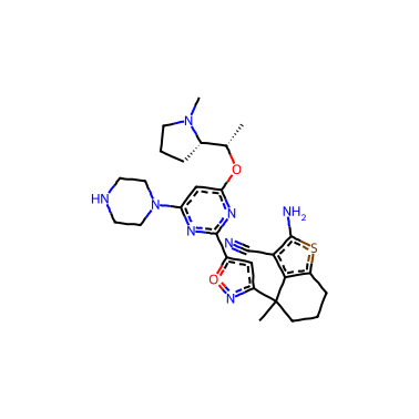 C[C@H](Oc1cc(N2CCNCC2)nc(-c2cc(C3(C)CCCc4sc(N)c(C#N)c43)no2)n1)[C@@H]1CCCN1C